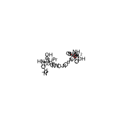 Cc1ncsc1-c1ccc([C@H](C)NC(=O)[C@@H]2C[C@@H](O)CN2C(=O)[C@@H](c2cc(N3CCC(CN4CCC5(CC4)CC(N4CCC(F)(F)C(CN6C7CCC6CN(c6cc(-c8ccccc8O)nnc6N)C7)C4)C5)CC3)no2)C(C)C)cc1